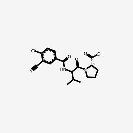 CC(C)C(NC(=O)c1ccc(Cl)c(C#N)c1)C(=O)N1CCC[C@H]1C(=O)O